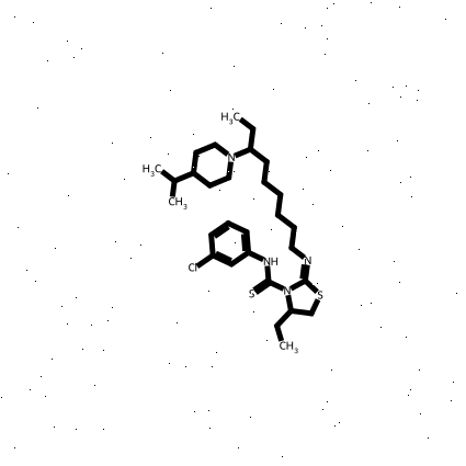 CCC(CCCCCC/N=C1/SCC(CC)N1C(=S)Nc1cccc(Cl)c1)N1CCC(C(C)C)CC1